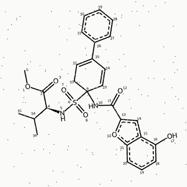 COC(=O)[C@@H](NS(=O)(=O)C1(NC(=O)c2cc3c(O)cccc3o2)C=CC(c2ccccc2)=CC1)C(C)C